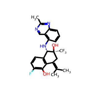 CC(C)=C1C[C@@](O)(C(F)(F)F)[C@@H](Nc2cccc3nc(C)ncc23)c2ccc(F)c(O)c21